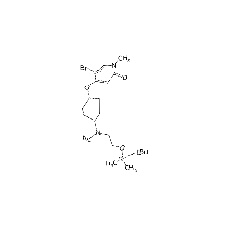 CC(=O)N(CCO[Si](C)(C)C(C)(C)C)C1CCC(Oc2cc(=O)n(C)cc2Br)CC1